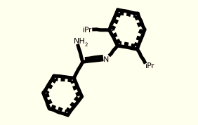 CC(C)c1cccc(C(C)C)c1N=C(N)c1ccccc1